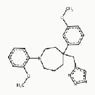 COc1cccc(C2(Cn3cnnn3)CCCN(c3ccccc3OC)CC2)c1